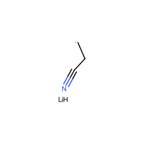 [CH2]CC#N.[LiH]